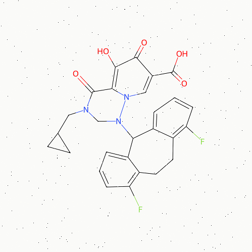 O=C(O)c1cn2c(c(O)c1=O)C(=O)N(CC1CC1)CN2C1c2cccc(F)c2CCc2c(F)cccc21